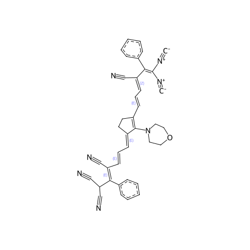 [C-]#[N+]C([N+]#[C-])=C(/C(C#N)=C/C=C/C1=C(N2CCOCC2)C(=C/C=C/C(C#N)=C(\c2ccccc2)C(C#N)C#N)/CC1)c1ccccc1